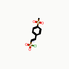 CS(=O)(=O)c1ccc(/C=C/S(=O)(=O)Cl)cc1